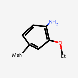 CCOc1cc(NC)ccc1N